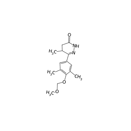 COCOc1c(C)cc(C2=NNC(=O)CC2C)cc1C